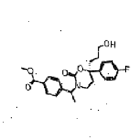 COC(=O)c1ccc([C@H](C)N2CC[C@](CCCO)(c3ccc(F)cc3)OC2=O)cc1